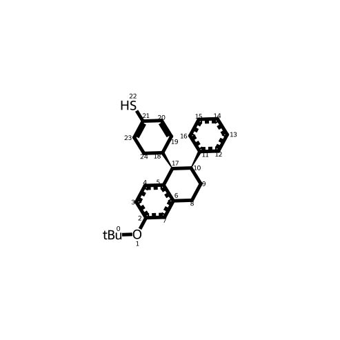 CC(C)(C)Oc1ccc2c(c1)CC[C@H](c1ccccc1)[C@@H]2C1C=CC(S)=CC1